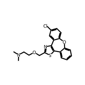 CN(C)CCOCc1nc2c(s1)-c1ccccc1Oc1ccc(Cl)cc1-2